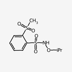 CC(C)ONS(=O)(=O)c1ccccc1S(C)(=O)=O